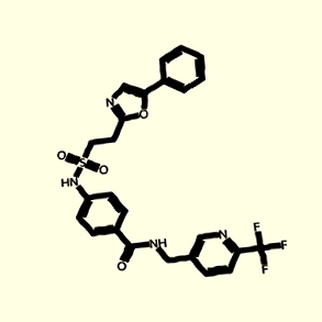 O=C(NCc1ccc(C(F)(F)F)nc1)c1ccc(NS(=O)(=O)CCc2ncc(-c3ccccc3)o2)cc1